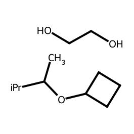 CC(C)C(C)OC1CCC1.OCCO